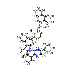 C=C/C(=C\c1ccc2sc3c(c4ccccc4c4c5ccccc5n(-c5nc6c(nc5-c5ccccc5)sc5ccccc56)c34)c2c1C)c1cc2ccccc2c2ccccc12